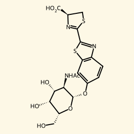 CC(=O)N[C@H]1[C@H](Oc2ccc3nc(C4=N[C@@H](C(=O)O)CS4)sc3c2)O[C@H](CO)[C@H](O)[C@@H]1O